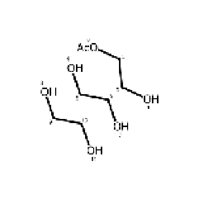 CC(=O)OCCO.OCCO.OCCO